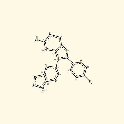 Fc1ccc(-c2cc3ccc(Cl)nc3n2-c2ccc3[nH]ccc3c2)cc1